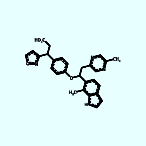 Cc1cnc(CC(Oc2ccc(C(CC(=O)O)c3ccon3)cc2)c2ccc3cc[nH]c3c2C)cn1